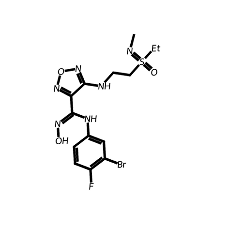 CCS(=O)(CCNc1nonc1/C(=N/O)Nc1ccc(F)c(Br)c1)=NC